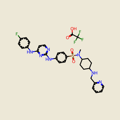 CN(C1CCC(NCc2ccccn2)CC1)S(=O)(=O)c1ccc(Nc2nccc(Nc3ccc(F)cc3)n2)cc1.O=C(O)C(F)(F)F